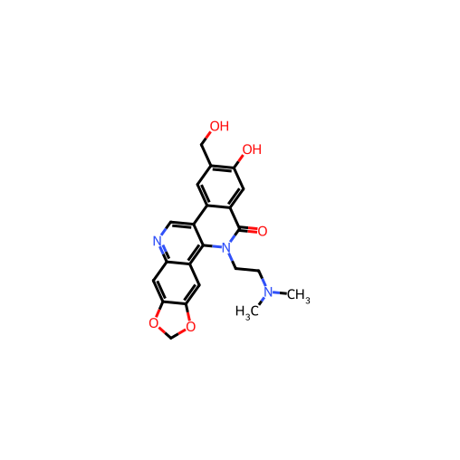 CN(C)CCn1c(=O)c2cc(O)c(CO)cc2c2cnc3cc4c(cc3c21)OCO4